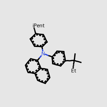 CCCC(C)c1ccc(N(c2ccc(C(C)(C)CC)cc2)c2cccc3ccccc23)cc1